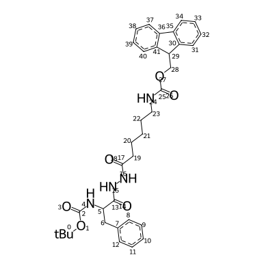 CC(C)(C)OC(=O)NC(Cc1ccccc1)C(=O)NNC(=O)CCCCCNC(=O)OCC1c2ccccc2-c2ccccc21